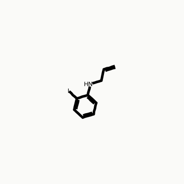 C=CCNc1ccccc1I